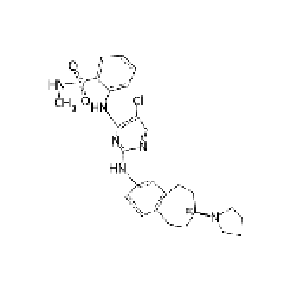 CNS(=O)(=O)c1ccccc1Nc1nc(Nc2ccc3c(c2)CC[C@@H](N2CCCC2)CC3)ncc1Cl